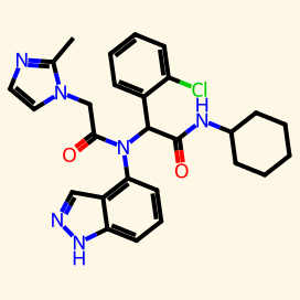 Cc1nccn1CC(=O)N(c1cccc2[nH]ncc12)C(C(=O)NC1CCCCC1)c1ccccc1Cl